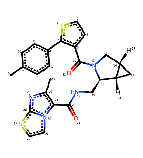 Cc1ccc(-c2sccc2C(=O)N2C[C@@H]3C[C@@H]3[C@H]2CNC(=O)c2c(C)nc3sccn23)cc1